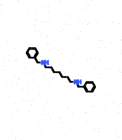 c1ccc(CNCCCCCCCNCc2ccccc2)cc1